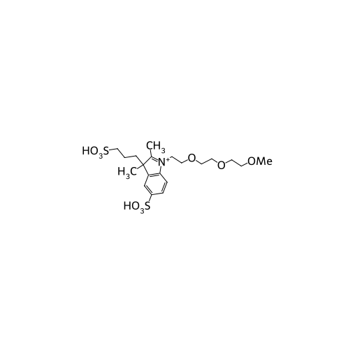 COCCOCCOCC[N+]1=C(C)C(C)(CCCS(=O)(=O)O)c2cc(S(=O)(=O)O)ccc21